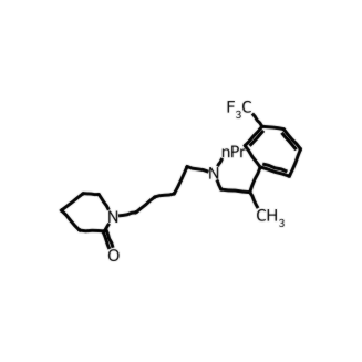 CCCN(CCCCN1CCCCC1=O)CC(C)c1cccc(C(F)(F)F)c1